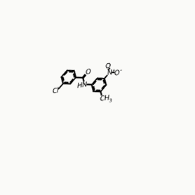 Cc1cc(NC(=O)c2cccc(Cl)c2)cc([N+](=O)[O-])c1